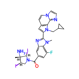 Cn1c(-c2cc3ccn4ccnc4c3n2CC2CC2)nc2cc(C(=O)N3C[C@@H](I)[C@](C)(N)[C@H]3I)cc(F)c21